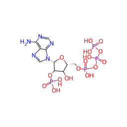 Nc1ncnc2c1ncn2[C@@H]1O[C@H](COP(=O)(O)OP(=O)(O)OP(=O)(O)O)C(O)C1OP(=O)(O)O